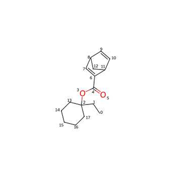 CCC1(OC(=O)C2=CC3C=CC2C3)CCCCC1